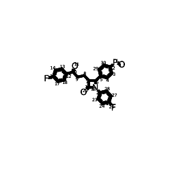 O=Pc1ccc(C2C(CCC(=O)c3ccc(F)cc3)C(=O)N2c2ccc(F)cc2)cc1